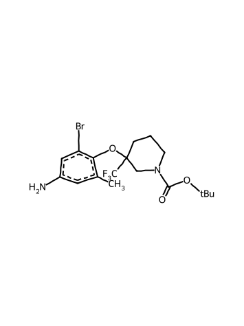 Cc1cc(N)cc(Br)c1OC1(C(F)(F)F)CCCN(C(=O)OC(C)(C)C)C1